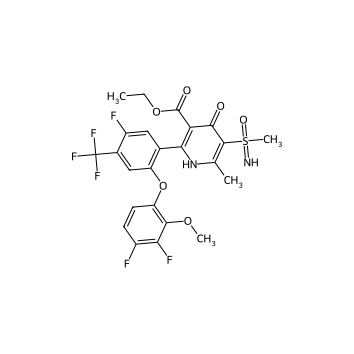 CCOC(=O)c1c(-c2cc(F)c(C(F)(F)F)cc2Oc2ccc(F)c(F)c2OC)[nH]c(C)c(S(C)(=N)=O)c1=O